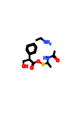 CC(=O)NC(C)SOC(=O)C(CO)c1ccccc1.CCN